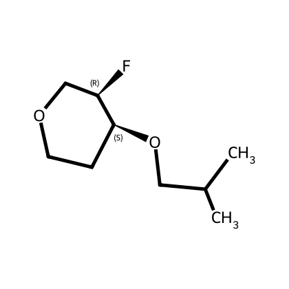 CC(C)CO[C@H]1CCOC[C@H]1F